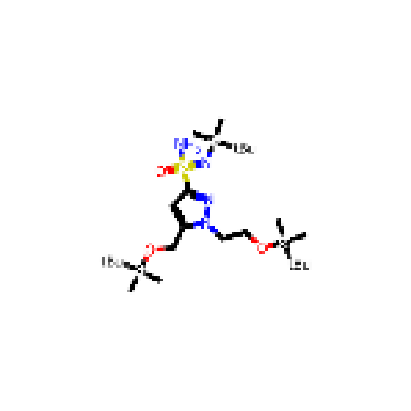 CC(C)(C)[Si](C)(C)N=S(N)(=O)c1cc(CO[Si](C)(C)C(C)(C)C)n(CCO[Si](C)(C)C(C)(C)C)n1